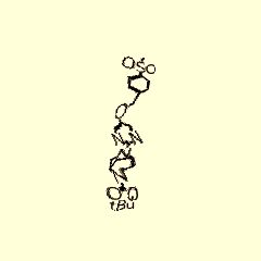 CC(C)(C)OC(=O)N1CC2CC1CN2c1ncc(OCc2ccc(S(C)(=O)=O)cc2)cn1